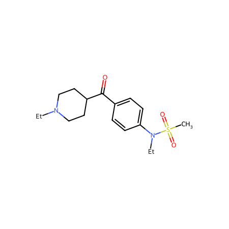 CCN1CCC(C(=O)c2ccc(N(CC)S(C)(=O)=O)cc2)CC1